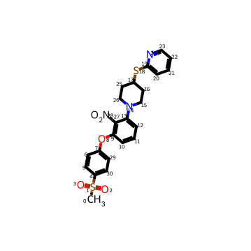 CS(=O)(=O)c1ccc(Oc2cccc(N3CCC(Sc4ccccn4)CC3)c2[N+](=O)[O-])cc1